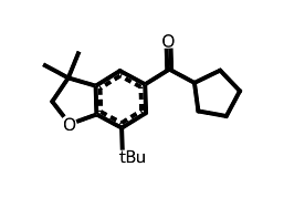 CC(C)(C)c1cc(C(=O)C2CCCC2)cc2c1OCC2(C)C